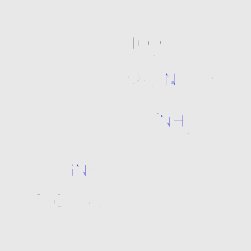 N[C@@H](CCCCNC(=O)C(F)(F)F)C(=O)N1CCC[C@H]1C(=O)O